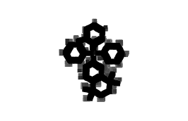 Cc1ccccc1[PH](c1ccccc1)(c1ccccc1)c1ccc2c(c1)C(C)(C)CCC2(C)C